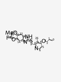 C=CCOc1ccnc(CSc2nc3cc(OC(F)F)c(OC)cc3[nH]2)c1C